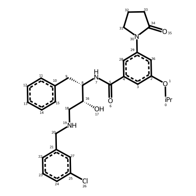 CC(C)Oc1cc(C(=O)N[C@@H](Cc2ccccc2)[C@H](O)CNCc2cccc(Cl)c2)cc(N2CCCC2=O)c1